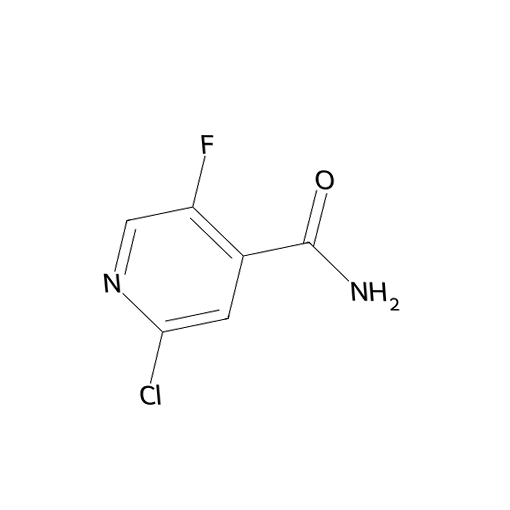 NC(=O)c1cc(Cl)ncc1F